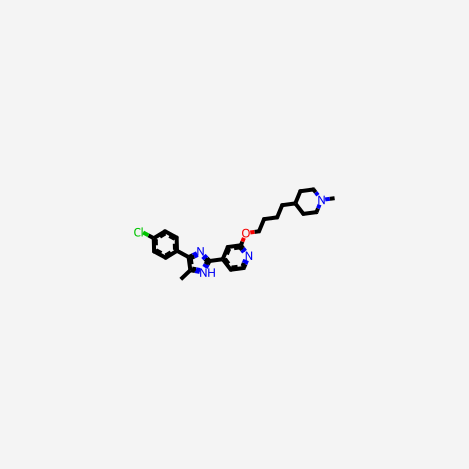 Cc1[nH]c(-c2ccnc(OCCCCC3CCN(C)CC3)c2)nc1-c1ccc(Cl)cc1